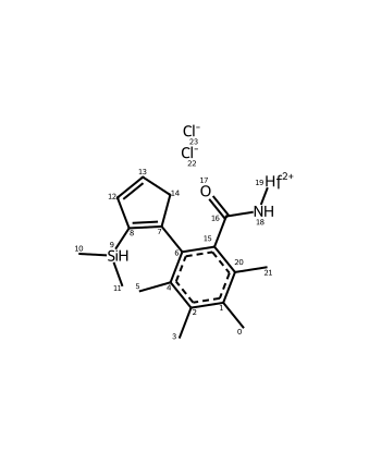 Cc1c(C)c(C)c(C2=C([SiH](C)C)C=CC2)c(C(=O)[NH][Hf+2])c1C.[Cl-].[Cl-]